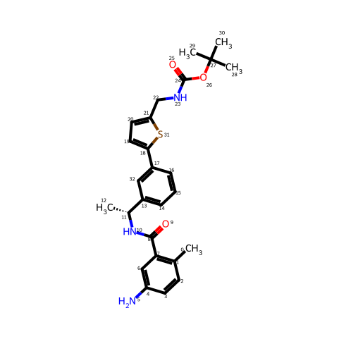 Cc1ccc(N)cc1C(=O)N[C@H](C)c1cccc(-c2ccc(CNC(=O)OC(C)(C)C)s2)c1